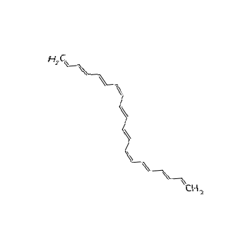 C=C/C=C/C=C/C=C\C=C\C=C\C=C/C=C/C=C/C=C